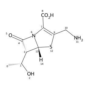 C[C@@H](O)[C@@H]1C(=O)N2C(C(=O)O)=C(CN)S[C@H]12